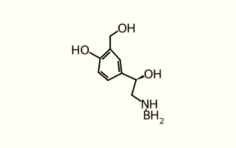 BNC[C@H](O)c1ccc(O)c(CO)c1